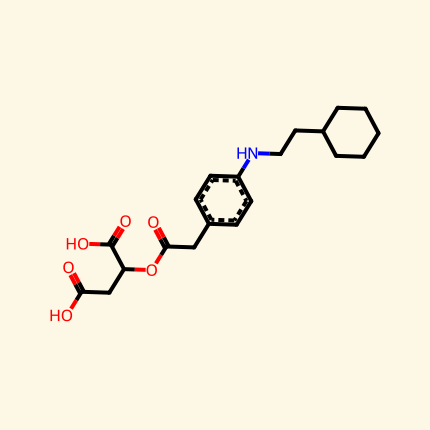 O=C(O)CC(OC(=O)Cc1ccc(NCCC2CCCCC2)cc1)C(=O)O